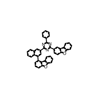 c1ccc(-c2nc(-c3cc(-c4cccc5oc6ccccc6c45)c4ccccc4c3)nc(-c3ccc4oc5ccccc5c4c3)n2)cc1